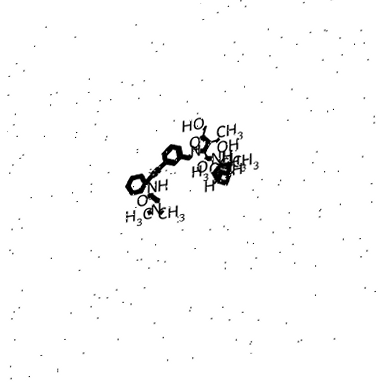 C[C@H](O)[C@@H]1[C@H](CO)ON(Cc2cccc(C#CC3(NC(=O)CN(C)C)CCCCC3)c2)[C@@H]1C(=O)NC1C[C@H]2C[C@@H]([C@@H]1C)C2(C)C